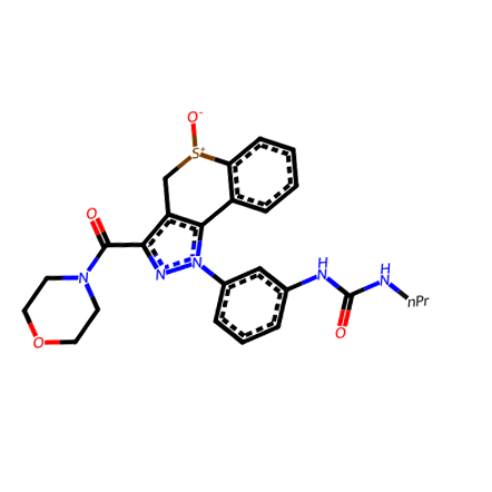 CCCNC(=O)Nc1cccc(-n2nc(C(=O)N3CCOCC3)c3c2-c2ccccc2[S+]([O-])C3)c1